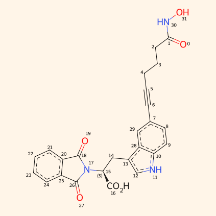 O=C(CCCC#Cc1ccc2[nH]cc(C[C@@H](C(=O)O)N3C(=O)c4ccccc4C3=O)c2c1)NO